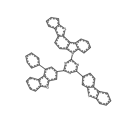 c1ccc(-c2cc(-c3nc(-c4ccc5c(c4)sc4ccccc45)nc(-n4c5ccccc5c5c6sc7ccccc7c6ccc54)n3)cc3oc4ccccc4c23)cc1